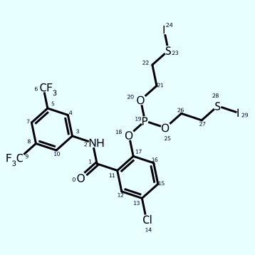 O=C(Nc1cc(C(F)(F)F)cc(C(F)(F)F)c1)c1cc(Cl)ccc1OP(OCCSI)OCCSI